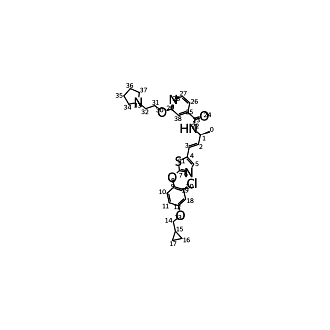 C[C@@H](/C=C/c1cnc(Oc2ccc(OCC3CC3)cc2Cl)s1)NC(=O)c1ccnc(OCCN2CCCC2)c1